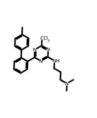 Cc1ccc(-c2ccccc2-c2nc(NCCCN(C)C)nc(C(Cl)(Cl)Cl)n2)cc1